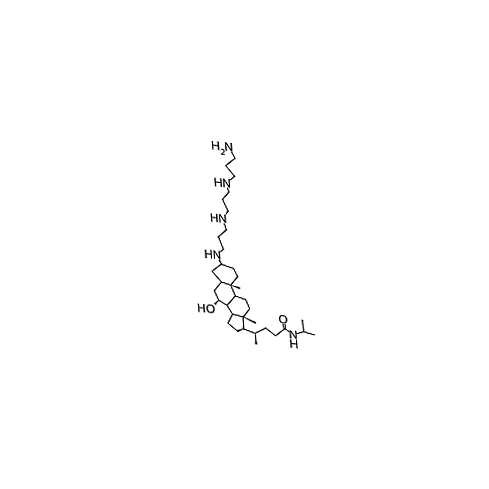 CC(C)NC(=O)CC[C@@H](C)[C@H]1CCC2C3C(CC[C@@]21C)[C@@]1(C)CC[C@H](NCCCNCCCNCCCN)CC1C[C@@H]3O